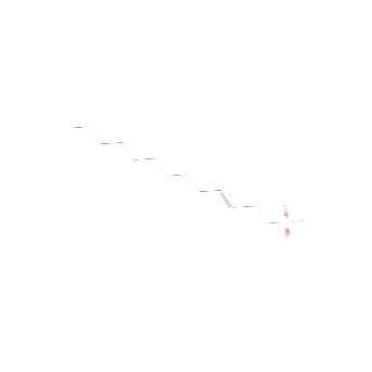 CCCCCCCCC/C=C/CCS(=O)(=O)O